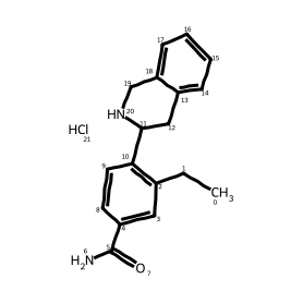 CCc1cc(C(N)=O)ccc1C1Cc2ccccc2CN1.Cl